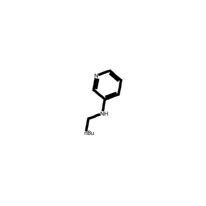 CCCCCNc1[c]nccc1